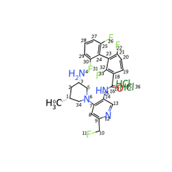 C[C@@H]1C[C@H](N)CN(c2cc(CF)ncc2NC(=O)c2ccc(F)c(-c3c(F)cccc3F)c2F)C1.Cl.Cl